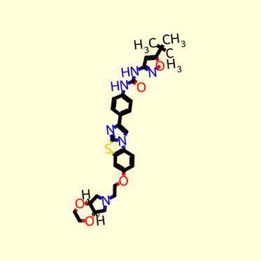 CC(C)(C)c1cc(NC(=O)Nc2ccc(-c3cn4c(n3)sc3cc(OCCN5C[C@@H]6OCCO[C@@H]6C5)ccc34)cc2)no1